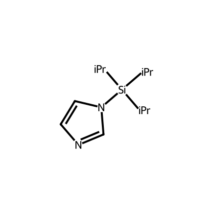 CC(C)[Si](C(C)C)(C(C)C)n1ccnc1